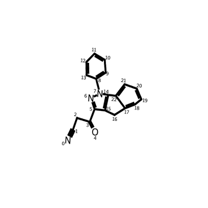 N#CCC(=O)c1nn(-c2ccccc2)c2c1Cc1ccccc1-2